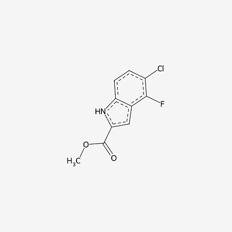 COC(=O)c1cc2c(F)c(Cl)ccc2[nH]1